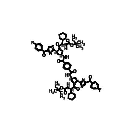 CC(C)(C)OC(=O)N[C@H](C(=O)N1C[C@@H](NC(=O)c2ccc(C(=O)N[C@H]3C[C@@H](c4nc(C(=O)c5ccc(F)cc5)cs4)N(C(=O)[C@@H](NC(=O)OC(C)(C)C)C4CCCCC4)C3)cc2)C[C@H]1c1nc(C(=O)c2ccc(F)cc2)cs1)C1CCCCC1